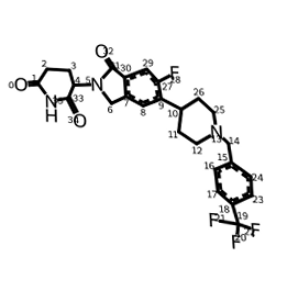 O=C1CCC(N2Cc3cc(C4CCN(Cc5ccc(C(F)(F)F)cc5)CC4)c(F)cc3C2=O)C(=O)N1